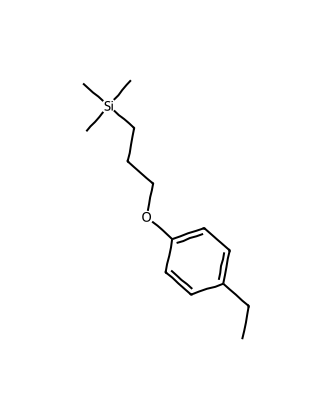 CCc1ccc(OCCC[Si](C)(C)C)cc1